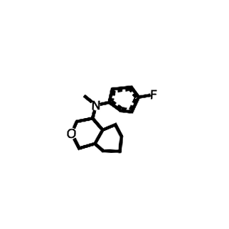 CN(c1ccc(F)cc1)C1COCC2CCCCC21